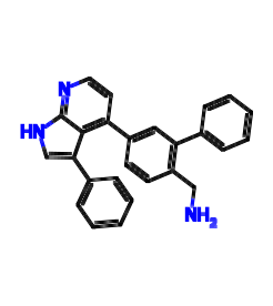 NCc1ccc(-c2ccnc3[nH]cc(-c4ccccc4)c23)cc1-c1ccccc1